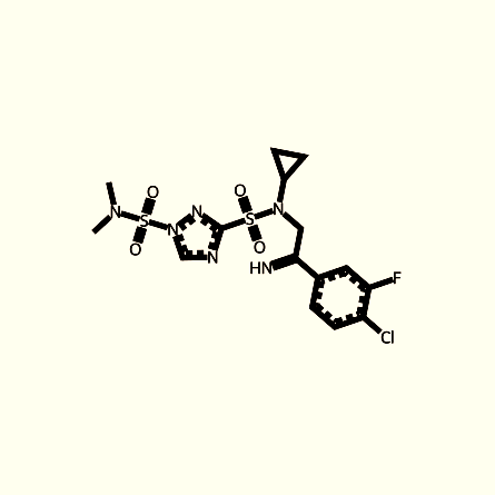 CN(C)S(=O)(=O)n1cnc(S(=O)(=O)N(CC(=N)c2ccc(Cl)c(F)c2)C2CC2)n1